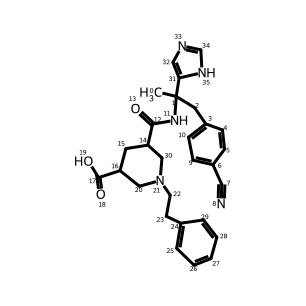 CC(Cc1ccc(C#N)cc1)(NC(=O)C1CC(C(=O)O)CN(CCc2ccccc2)C1)c1cnc[nH]1